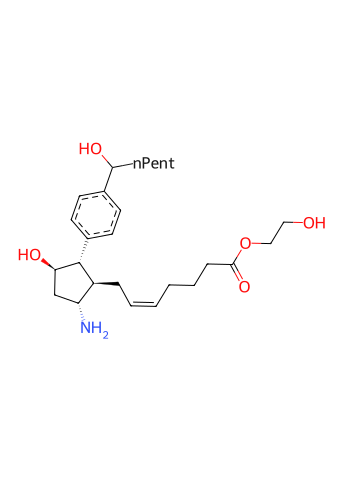 CCCCCC(O)c1ccc([C@@H]2[C@@H](C/C=C\CCCC(=O)OCCO)[C@H](N)C[C@H]2O)cc1